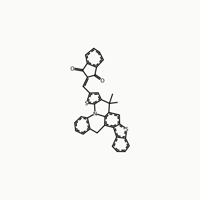 CC1(C)c2cc(C=C3C(=O)c4ccccc4C3=O)sc2N2c3ccccc3Cc3c2c1cc1sc2ccccc2c31